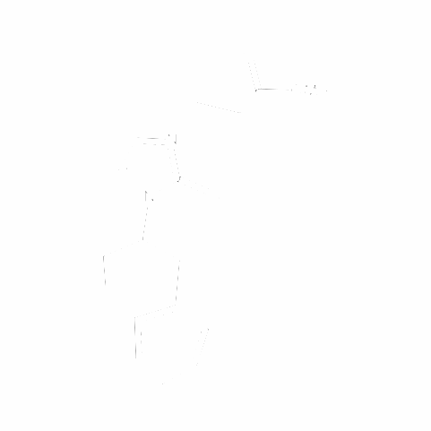 COC(=O)CCn1ccn(C2CCc3ccccc3C2)c1=S